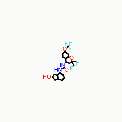 O=C(Nc1cccc2c1C[C@@H](O)C2)N[C@@H]1CC(CF)(CF)Oc2cc(OC(F)(F)F)ccc21